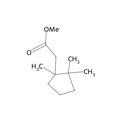 COC(=O)CC1(C)CCCC1(C)C